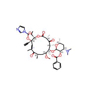 C#C[C@]1(OC(=O)n2ccnc2)/C=C(\C)C(=O)[C@H](C)C[C@](C)(OC)[C@H](OC2O[C@H](C)C[C@H](N(C)C)[C@H]2OC(=O)c2ccccc2)[C@@H](C)C(=O)[C@@H](C)C(=O)O[C@@H]1CC